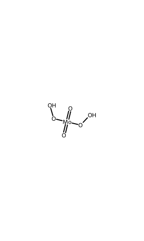 [O]=[Mo](=[O])([O]O)[O]O